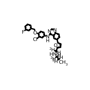 [2H]C([2H])(NC([2H])([2H])C([2H])([2H])C)c1ccc(-c2ccc3ncnc(Nc4ccc(OCc5cccc(F)c5)c(Cl)c4)c3c2)o1